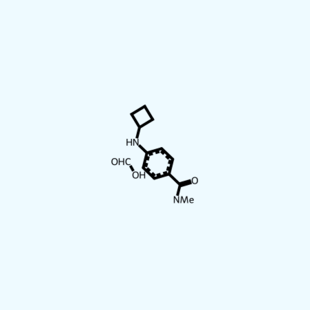 CNC(=O)c1ccc(NC2CCC2)cc1.O=CO